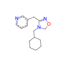 c1cncc(CC2=NOCN2CC2CCCCC2)c1